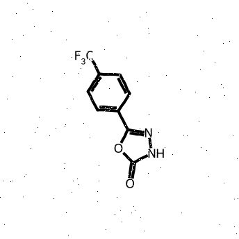 O=c1[nH]nc(-c2ccc(C(F)(F)F)cc2)o1